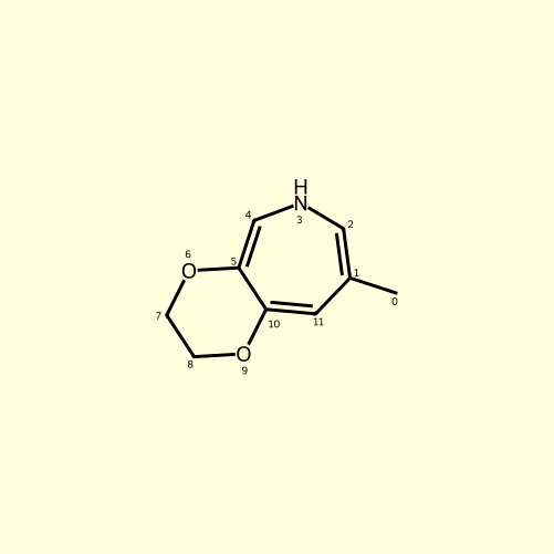 CC1=CNC=C2OCCOC2=C1